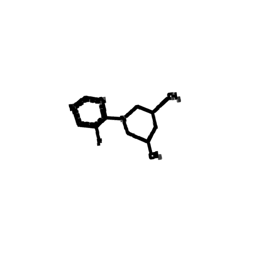 CC1CC(C)CN(c2ncncc2F)C1